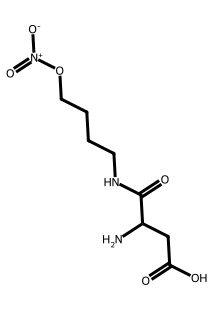 NC(CC(=O)O)C(=O)NCCCCO[N+](=O)[O-]